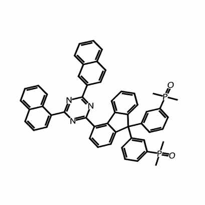 CP(C)(=O)c1cccc(C2(c3cccc(P(C)(C)=O)c3)c3ccccc3-c3c(-c4nc(-c5ccc6ccccc6c5)nc(-c5cccc6ccccc56)n4)cccc32)c1